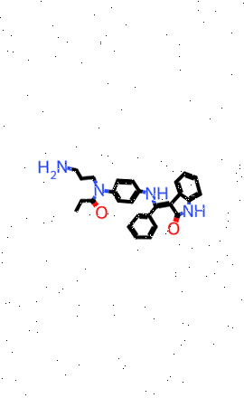 CCC(=O)N(CCCN)c1ccc(NC(=C2C(=O)Nc3ccccc32)c2ccccc2)cc1